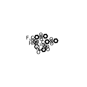 O=C(c1ccc(=O)n(S(=O)(=O)c2cc(S(=O)(=O)c3ccccc3)ccc2C(F)(F)F)c1)N1CCC(NS(=O)(=O)c2cc(S(=O)(=O)c3ccccc3)ccc2C(F)(F)F)CC1